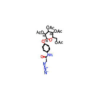 CC(=O)OCC1O[C@@H](Oc2ccc(NC(=O)CN=[N+]=[N-])cc2)[C@@H](OC(C)=O)C(OC(C)=O)[C@H]1OC(C)=O